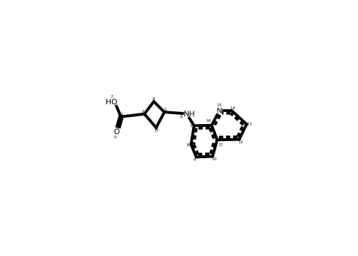 O=C(O)C1CC(Nc2cccc3cccnc23)C1